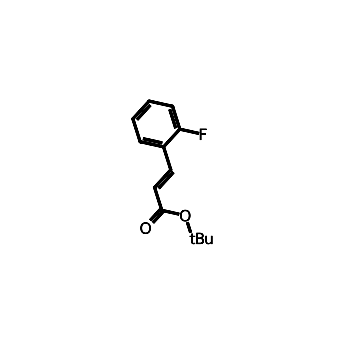 CC(C)(C)OC(=O)C=Cc1ccccc1F